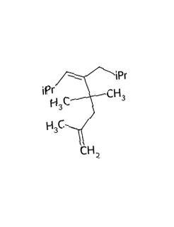 C=C(C)CC(C)(C)C(=CC(C)C)CC(C)C